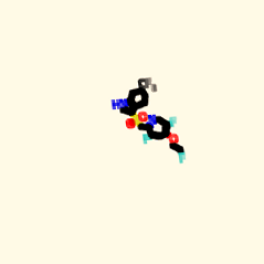 O=S(=O)(CC1=NCC(F)=C(OCCF)C=C1F)c1c[nH]c2c1CCC(C(F)(F)F)C2